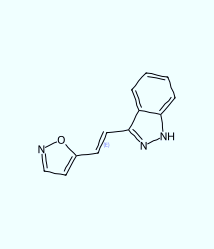 C(=C\c1n[nH]c2ccccc12)/c1ccno1